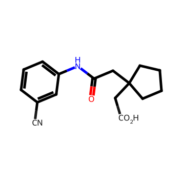 N#Cc1cccc(NC(=O)CC2(CC(=O)O)CCCC2)c1